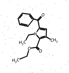 CCOC(=O)c1c(C)cc(C(=O)c2ccccc2)n1CC